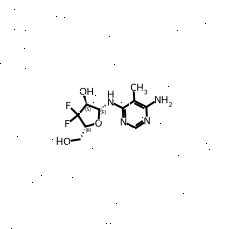 Cc1c(N)ncnc1N[C@@H]1O[C@H](CO)C(F)(F)[C@H]1O